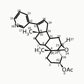 CC(=O)O[C@H]1CC[C@]2(C)C3CC[C@]4(C)C(c5cccnc5)=CCC4C3C[C@H]3O[C@]32C1